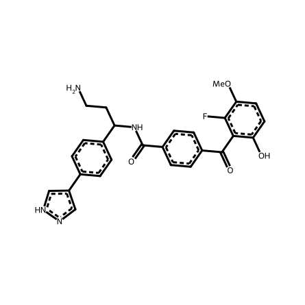 COc1ccc(O)c(C(=O)c2ccc(C(=O)NC(CCN)c3ccc(-c4cn[nH]c4)cc3)cc2)c1F